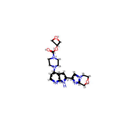 O=C(OC1COC1)N1CCN(c2ccnc3[nH]c(-c4cn5c(n4)COCC5)cc23)CC1